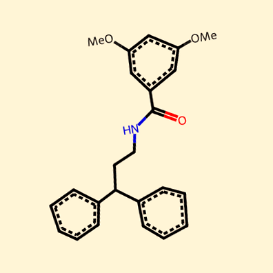 COc1cc(OC)cc(C(=O)NCCC(c2ccccc2)c2ccccc2)c1